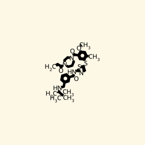 C=CC(=O)N1CCCN(C(=O)c2cc(Sc3cnc(NC(=O)c4cccc(CN[C@H](C)C(C)(C)C)c4)s3)c(C)cc2OC)CC1